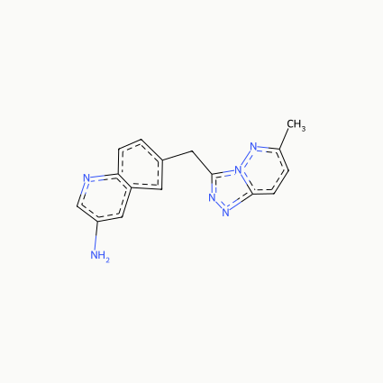 Cc1ccc2nnc(Cc3ccc4ncc(N)cc4c3)n2n1